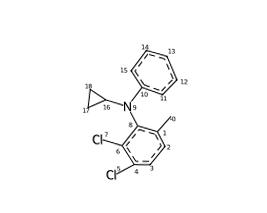 [CH2]c1ccc(Cl)c(Cl)c1N(c1ccccc1)C1CC1